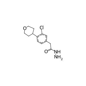 NNC(=O)Cc1ccc(C2CCOCC2)c(Cl)c1